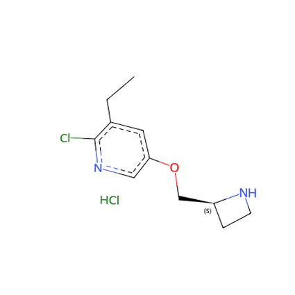 CCc1cc(OC[C@@H]2CCN2)cnc1Cl.Cl